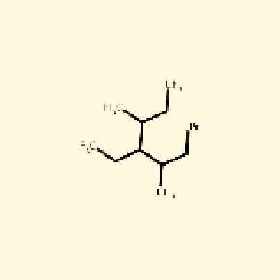 CC(C)CC(C)C(CC(F)(F)F)C(C)CC(F)(F)F